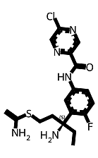 C=C(N)SCC[C@@](N)(CC)c1cc(NC(=O)c2cnc(Cl)cn2)ccc1F